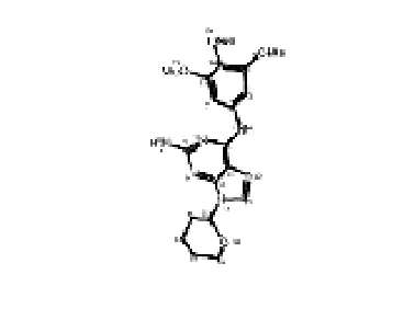 COc1cc(Nc2nc(N)nc3c2ncn3C2CCCCO2)cc(OC)c1OC